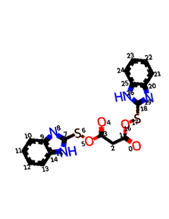 O=C(CC(=O)OSc1nc2ccccc2[nH]1)OSc1nc2ccccc2[nH]1